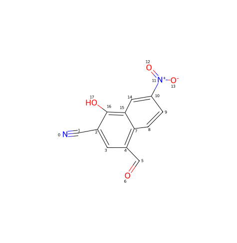 N#Cc1cc(C=O)c2ccc([N+](=O)[O-])cc2c1O